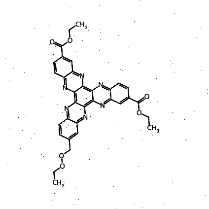 CCOOCc1ccc2nc3c4nc5ccc(C(=O)OCC)cc5nc4c4nc5ccc(C(=O)OCC)cc5nc4c3nc2c1